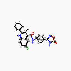 Cc1c(-c2ccccc2)nc2ccc(Br)cc2c1C(=O)NC12CCC(C3=NOS(=O)N3)(CC1)CC2